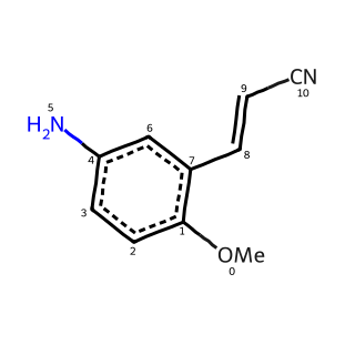 COc1ccc(N)cc1/C=C/C#N